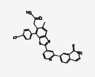 Cc1cc2nc(-c3ccnc(-c4ccc5cc[nH]c(=O)c5c4)c3)sc2c(-c2ccc(Cl)cc2)c1CC(=O)O